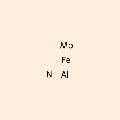 [Al].[Fe].[Mo].[Ni]